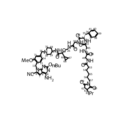 CCCCOc1nc(N)c2cc(C#N)n(Cc3ccc(CN4CCC(NC(=O)[C@@H](OCNC(=O)CNC(=O)[C@H](Cc5ccccc5)NC(=O)CNC(=O)CNC(=O)CCCCCN5C(=O)CC(C(C)C)C5=O)C5CC5)CC4)cc3OC)c2n1